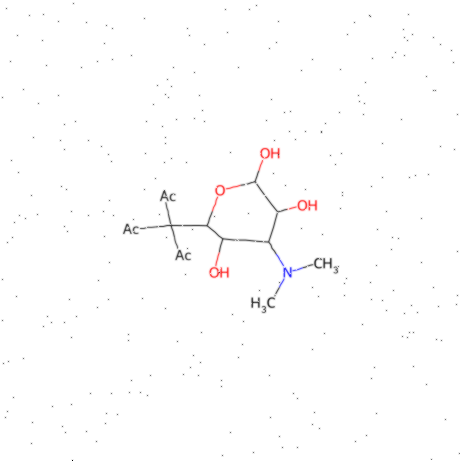 CC(=O)C(C(C)=O)(C(C)=O)C1OC(O)C(O)C(N(C)C)C1O